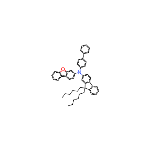 CCCCCCC1(CCCCCC)c2ccccc2-c2ccc(N(c3ccc(-c4ccccc4)cc3)c3ccc4c(c3)oc3ccccc34)cc21